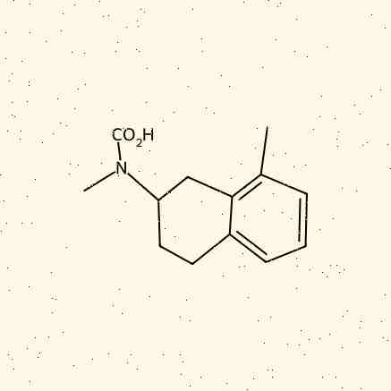 Cc1cccc2c1CC(N(C)C(=O)O)CC2